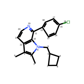 Cc1c(C)n(CC2CCC2)c2c(-c3ccc(Cl)cc3)nccc12